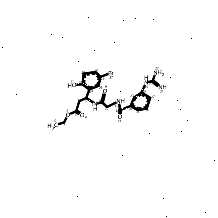 CCOC(=O)CC(NC(=O)CNC(=O)c1cccc(NC(=N)N)c1)c1cc(Br)ccc1O